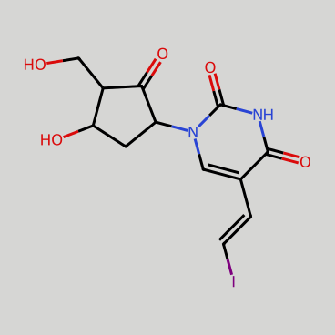 O=C1C(CO)C(O)CC1n1cc(/C=C/I)c(=O)[nH]c1=O